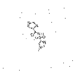 Cn1cnc(S(=O)(=O)NC(=O)c2cscn2)c1